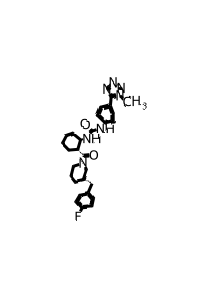 Cn1nnnc1-c1ccc(NC(=O)N[C@@H]2CCCC[C@H]2C(=O)N2CCC[C@@H](Cc3ccc(F)cc3)C2)cc1